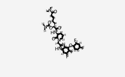 CN(C)C(=O)/C=C/CC[C@H](OC(=O)N(C)C)C(=O)Nc1cccn(Cc2nc3c(Oc4ccc(F)cc4F)c(F)c(F)cc3[nH]2)c1=O